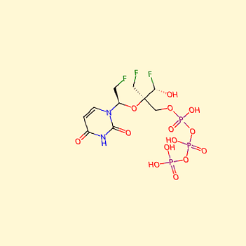 O=c1ccn([C@@H](CF)O[C@](CF)(COP(=O)(O)OP(=O)(O)OP(=O)(O)O)[C@@H](O)F)c(=O)[nH]1